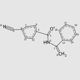 C=C(NC(=O)c1ccc(C#N)cc1)c1ccccc1